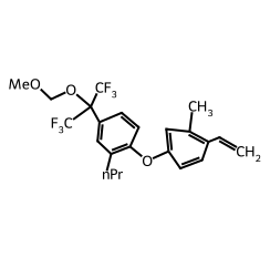 C=Cc1ccc(Oc2ccc(C(OCOC)(C(F)(F)F)C(F)(F)F)cc2CCC)cc1C